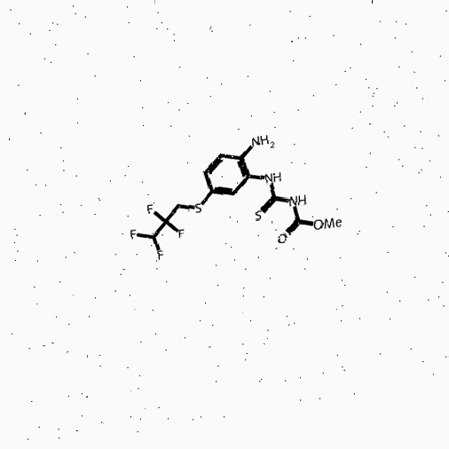 COC(=O)NC(=S)Nc1cc(SCC(F)(F)C(F)F)ccc1N